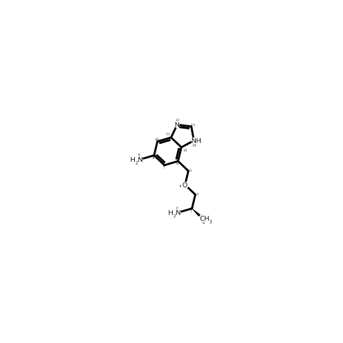 C[C@@H](N)COCc1cc(N)cc2nc[nH]c12